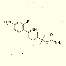 CC([C@H](C)CC(=N)c1ccc(N)cc1F)C(C)(C)OC(N)=O